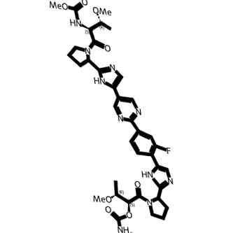 COC(=O)N[C@H](C(=O)N1CCCC1c1ncc(-c2cnc(-c3ccc(-c4cnc(C5CCCN5C(=O)[C@@H](OC(N)=O)[C@@H](C)OC)[nH]4)c(F)c3)nc2)[nH]1)[C@@H](C)OC